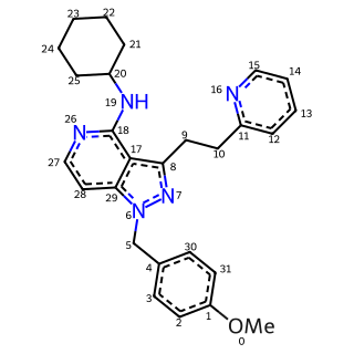 COc1ccc(Cn2nc(CCc3ccccn3)c3c(NC4CCCCC4)nccc32)cc1